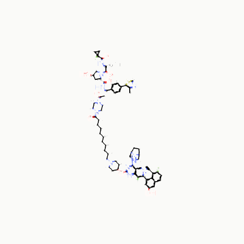 C#Cc1c(F)ccc2cc(O)cc(-c3ncc4c(N5CC6CCC(C5)N6)nc(OC5CCN(CCCCCCCCCCC(=O)N6CCN(C(=O)C[C@H](NC(=O)[C@@H]7C[C@@H](O)CN7C(=O)[C@@H](NC(=O)C7(F)CC7)C(C)(C)C)c7ccc(-c8scnc8C)cc7)CC6)CC5)nc4c3F)c12